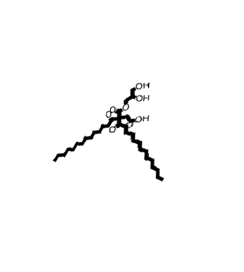 CCCCCCCCCCCCCC(=O)C(CC(=O)O)(C(=O)CCCCCCCCCCCCC)C(=O)OCC(O)CO